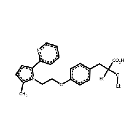 CCOC(CC)(Cc1ccc(OCCn2c(C)ccc2-c2ccccn2)cc1)C(=O)O